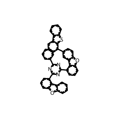 c1ccc(-c2nc(-c3cccc4oc5ccccc5c34)nc(-c3cccc4oc5ccc(-c6cccc7c6sc6ccccc67)cc5c34)n2)cc1